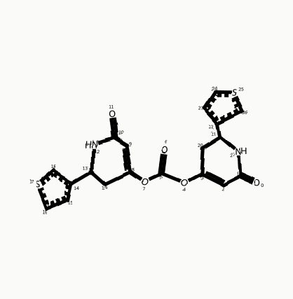 O=C1C=C(OC(=O)OC2=CC(=O)NC(c3ccsc3)C2)CC(c2ccsc2)N1